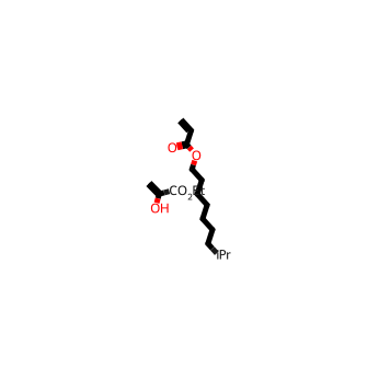 C=C(O)C(=O)OCC.C=CC(=O)OCCCCCCCC(C)C